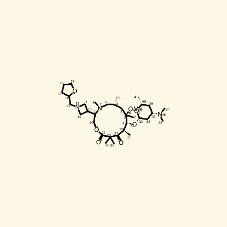 CO[C@]1(C)C[C@@H](C)CN(C)C(C2CN(CC3CCCO3)C2)COC(=O)C(C)(C)C(=O)[C@H](C)[C@H]1O[C@H]1C[C@@H](N(C)C)C[C@@H](C)O1